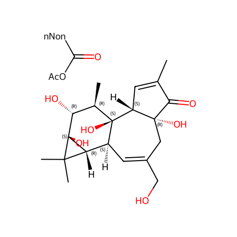 CC1=C[C@H]2[C@@]3(O)[C@H](C)[C@@H](O)[C@]4(O)[C@H]([C@@H]3C=C(CO)C[C@]2(O)C1=O)C4(C)C.CCCCCCCCCC(=O)OC(C)=O